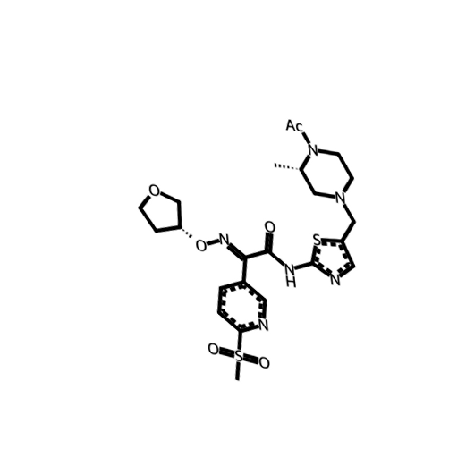 CC(=O)N1CCN(Cc2cnc(NC(=O)/C(=N/O[C@@H]3CCOC3)c3ccc(S(C)(=O)=O)nc3)s2)C[C@@H]1C